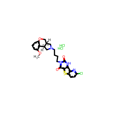 COc1cccc2c1[C@@H]1CN(CCCCn3c(=O)[nH]c4c(sc5ccc(Cl)nc54)c3=O)C[C@H]1CO2.Cl.Cl